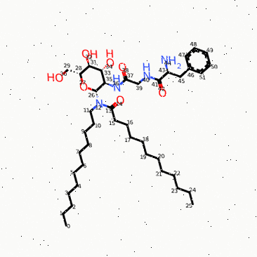 CCCCCCCCCCCCN(C(=O)CCCCCCCCCCC)[C@@H]1O[C@H](CO)[C@@H](O)[C@H](O)[C@H]1NC(=O)CNC(=O)[C@@H](N)Cc1ccccc1